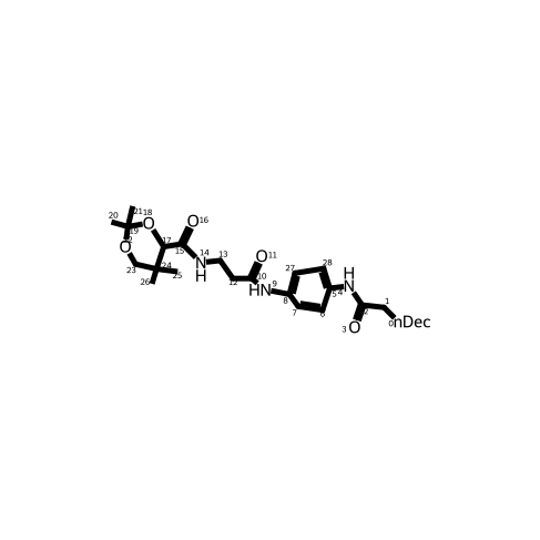 CCCCCCCCCCCC(=O)Nc1ccc(NC(=O)CCNC(=O)C2OC(C)(C)OCC2(C)C)cc1